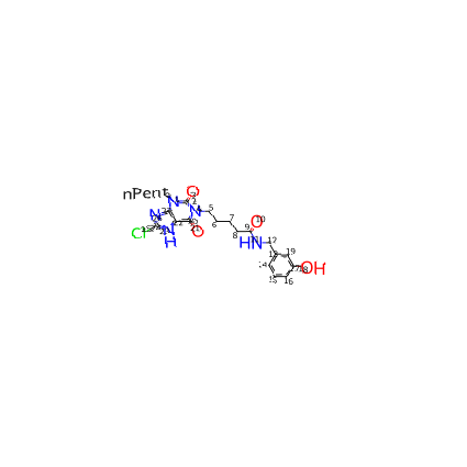 CCCCCn1c(=O)n(CCCCC(=O)NCc2cccc(O)c2)c(=O)c2[nH]c(Cl)nc21